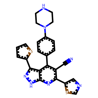 N#Cc1c(-c2cncs2)nc2[nH]nc(-c3cccs3)c2c1-c1ccc(N2CCNCC2)cc1